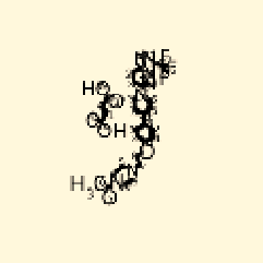 CC(=O)N1CCN(CCOc2ccc(C3CCN(C4=Nn5c(nnc5C(F)(F)F)CC4)CC3)cc2)CC1.O=C(O)C=CC(=O)O